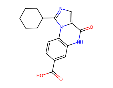 O=C(O)c1ccc2c(c1)[nH]c(=O)c1cnc(C3CCCCC3)n12